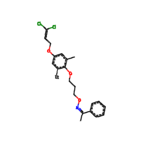 CCc1cc(OCC=C(Cl)Cl)cc(C)c1OCCCON=C(C)c1ccccc1